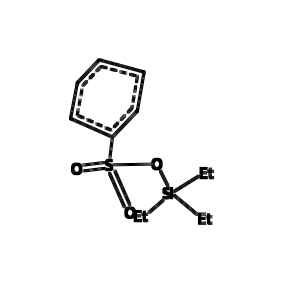 CC[Si](CC)(CC)OS(=O)(=O)c1ccccc1